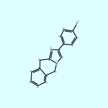 Fc1ccc(-c2cn3c(n2)Cc2ccccc2C3)cc1